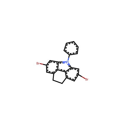 Brc1cc2c3c4c(cc(Br)cc4n(-c4ccccc4)c3c1)CC2